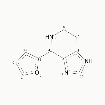 c1coc(C2NCCc3[nH]cnc32)c1